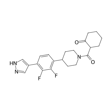 O=C1CCCCC1C(=O)N1CCC(c2ccc(-c3cn[nH]c3)c(F)c2F)CC1